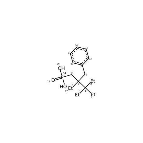 CCC(CC)(CC)C(CC)(Cc1ccccc1)CP(=O)(O)O